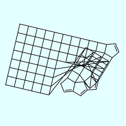 C1=CC2C3C4C5C6C7C8C9C%10C%11CC%12C%13C%14C%15C%16C%17CC%18C%19C%20C%21C%22C%23C%24C%25C%26C%27CC=C%28C=C%29C=C%30C%31C%32C1C21C%322C%31%32C%30%31C%29%30C%28%27C%26%27C%25%26C%24%25C%23%24C%22%23C%21%22C%20%21C%19%20C%17%18C%16%17C%15%16C%14%15C%13%14C%12%11C%10%11C9%10C89C78C67C56C45C31C21C%322C%313C%30%27C%264C%25%12C%24%13C%23%18C%22%19C%21%22C%17%20C%16%17C%15%16C%14%11C%10%11C9%10C89C78C67C51C21C34C%122C71C81C%132C%182C%193C%17%22C%16%11C%103C912